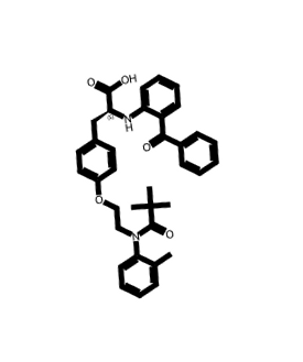 Cc1ccccc1N(CCOc1ccc(C[C@H](Nc2ccccc2C(=O)c2ccccc2)C(=O)O)cc1)C(=O)C(C)(C)C